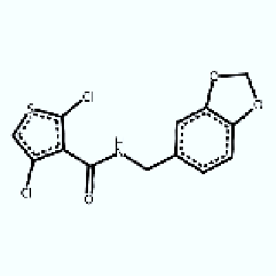 O=C(NCc1ccc2c(c1)OCO2)c1c(Cl)csc1Cl